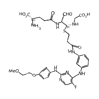 COCCOc1ccc(Nc2ncc(F)c(Nc3cccc(NC(=O)CCS[C@@H](NCC(=O)O)C(C=O)NC(=O)CC[C@H](N)C(=O)O)c3)n2)cc1